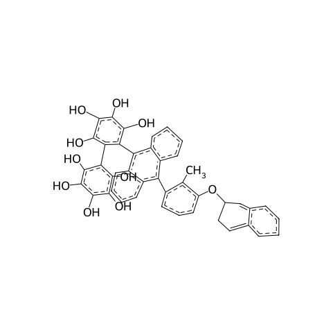 Cc1c(OC2C=c3ccccc3=CC2)cccc1-c1c2ccccc2c(-c2c(O)c(O)c(O)c(O)c2-c2c(O)c(O)c(O)c(O)c2O)c2ccccc12